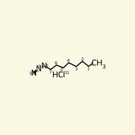 CCCCCCCCN=[N+]=[N-].Cl